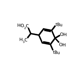 CC(C(=O)O)C1C=C(C(C)(C)C)C(O)(O)C(C(C)(C)C)=C1